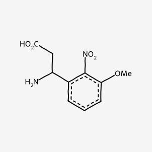 COc1cccc(C(N)CC(=O)O)c1[N+](=O)[O-]